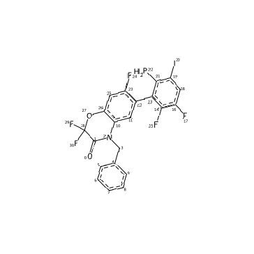 O=C1N(Cc2ccccc2)c2cc(-c3c(F)c(F)cc(I)c3P)c(F)cc2OC1(F)F